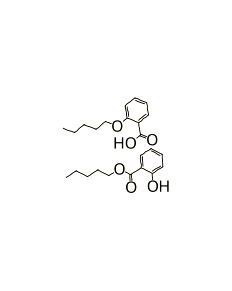 CCCCCOC(=O)c1ccccc1O.CCCCCOc1ccccc1C(=O)O